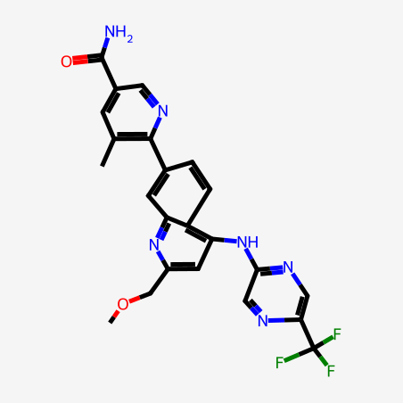 COCc1cc(Nc2cnc(C(F)(F)F)cn2)c2ccc(-c3ncc(C(N)=O)cc3C)cc2n1